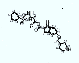 N[C@H](CC(=O)OC(=O)c1cc2cc(OCC3CCNCC3)ccc2[nH]1)NS(=O)(=O)c1ccccc1